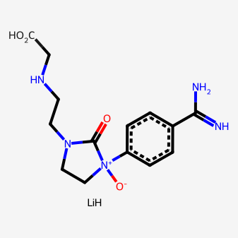 N=C(N)c1ccc([N+]2([O-])CCN(CCNCC(=O)O)C2=O)cc1.[LiH]